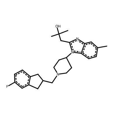 Cc1ccc2c(c1)nc(CC(C)(C)O)n2C1CCN(CC2Cc3ccc(F)cc3C2)CC1